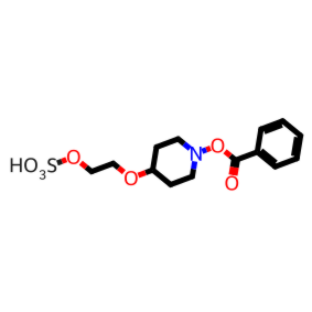 O=C(ON1CCC(OCCOS(=O)(=O)O)CC1)c1ccccc1